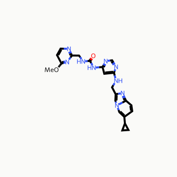 COc1ccnc(CNC(=O)Nc2cc(NCc3cn4cc(C5CC5)ccc4n3)ncn2)n1